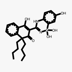 CCCCC1(CCCC)C(=O)C(C2=NS(O)(O)c3cc(O)ccc3N2)=C(O)c2ccccc21